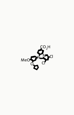 COc1ccc(N(Cc2ncc(Cl)cc2Cl)c2ccc(C(=O)O)cc2)cc1OC1CCCC1